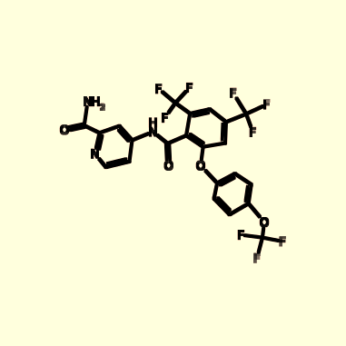 NC(=O)c1cc(NC(=O)c2c(Oc3ccc(OC(F)(F)F)cc3)cc(C(F)(F)F)cc2C(F)(F)F)ccn1